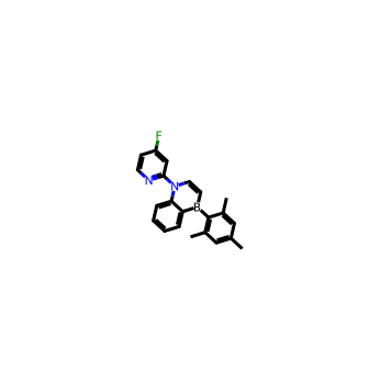 Cc1cc(C)c(B2C=CN(c3cc(F)ccn3)c3ccccc32)c(C)c1